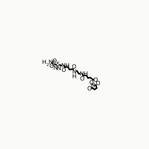 NS(=O)(=O)c1nnc(NC(=O)CCC(=O)NCCNC(=O)CCCC(=O)ON2C(=O)CCC2=O)s1